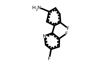 Nc1ccc(F)c(-c2ncc(F)cc2F)c1